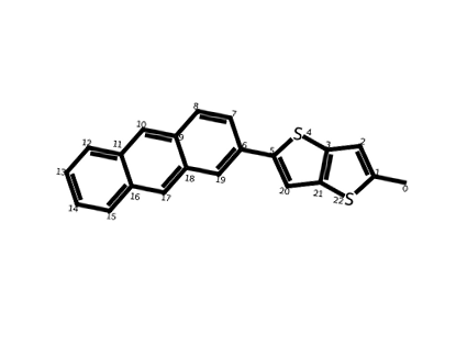 Cc1cc2sc(-c3ccc4cc5ccccc5cc4c3)cc2s1